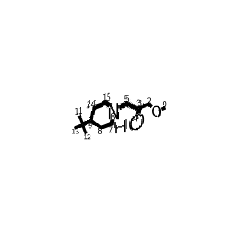 COCC(O)CN1CCC(C(C)(C)C)CC1